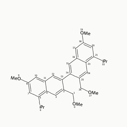 COCc1cc2c(C(C)C)cc(OC)cc2cc1-c1cc2cc(OC)cc(C(C)C)c2cc1COC